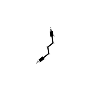 N#CC[CH]CC#N